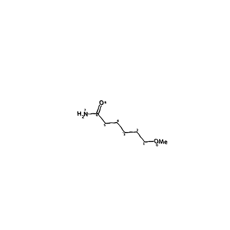 COCC[CH]CCC(N)=O